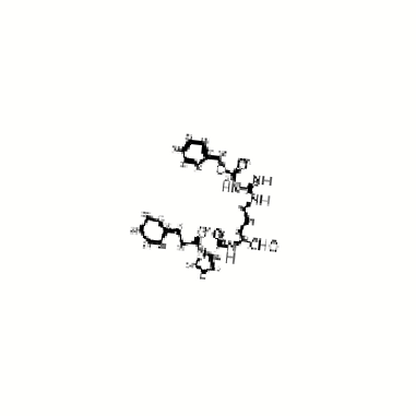 N=C(NCCC[C@@H](C=O)NC(=O)[C@@H]1CCCN1C(=O)CCC1CCCCC1)NC(=O)OCc1ccccc1